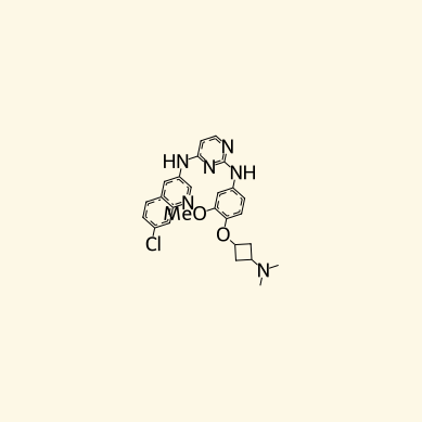 COc1cc(Nc2nccc(Nc3cnc4cc(Cl)ccc4c3)n2)ccc1OC1CC(N(C)C)C1